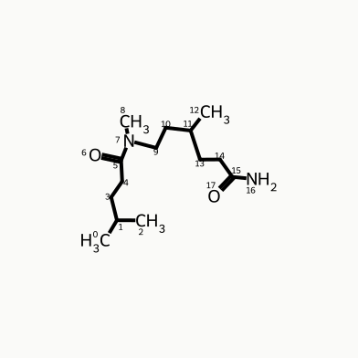 CC(C)CCC(=O)N(C)CCC(C)CCC(N)=O